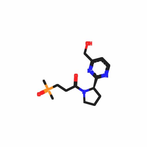 CP(C)(=O)CCC(=O)N1CCC[C@@H]1c1nccc(CO)n1